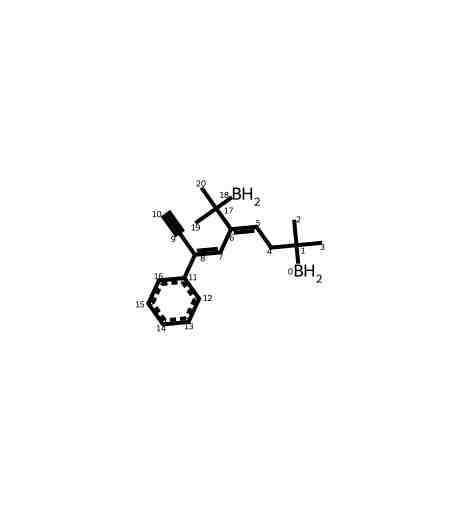 BC(C)(C)C/C=C(\C=C(/C#C)c1ccccc1)C(B)(C)C